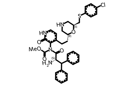 COC(=O)N(C(=O)[C@@H](N)C(c1ccccc1)c1ccccc1)c1c(CC[C@@H]2CNC[C@@H](CSc3ccc(Cl)cc3)O2)cc[nH]c1=O